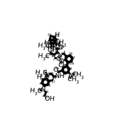 COc1c(CN2OC[C@@H]([C@H](C)O)[C@H]2C(=O)N[C@H]2C[C@H]3C[C@@H]([C@@H]2C)C3(C)C)cccc1-c1cc(C(=O)N[C@@H](Cc2cccc(N(C)CCO)c2)CN(C)C)cc(N(C)C)c1